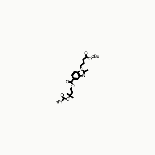 CCCC(=O)OC(C)(C)CCOC(=O)c1ccc2c(c1)nc(C)n2CCCC(=O)OC(C)(C)C